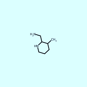 CC1CCCNC1CN